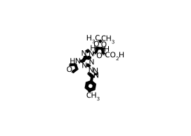 Cc1ccc(-c2cn(-c3nc(NC4CCOC4)c4ncn([C@@H]5O[C@H](C(=O)O)[C@H]6OC(C)(C)O[C@H]65)c4n3)nn2)cc1